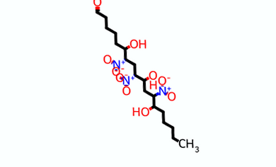 CCCCCC(O)C(CC(O)C(CC(C(O)CCCCC=O)[N+](=O)[O-])[N+](=O)[O-])[N+](=O)[O-]